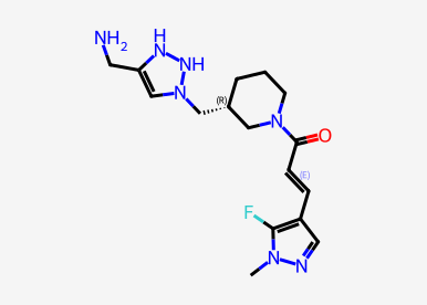 Cn1ncc(/C=C/C(=O)N2CCC[C@@H](CN3C=C(CN)NN3)C2)c1F